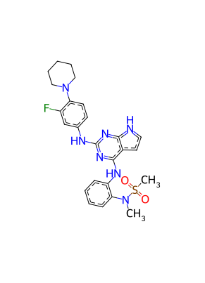 CN(c1ccccc1Nc1nc(Nc2ccc(N3CCCCC3)c(F)c2)nc2[nH]ccc12)S(C)(=O)=O